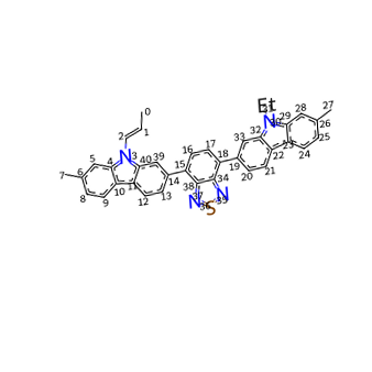 CC=Cn1c2cc(C)ccc2c2ccc(-c3ccc(-c4ccc5c6ccc(C)cc6n(CC)c5c4)c4nsnc34)cc21